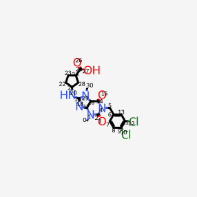 CN1C(=O)N(Cc2ccc(Cl)c(Cl)c2)C(=O)C2C1N=C(NC1CCC(C(=O)O)C1)N2C